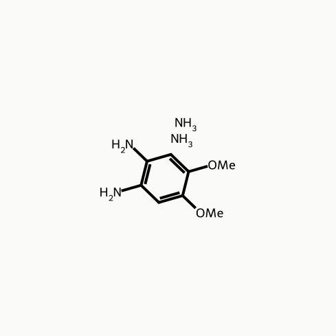 COc1cc(N)c(N)cc1OC.N.N